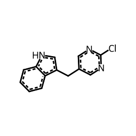 Clc1ncc(Cc2c[nH]c3ccccc23)cn1